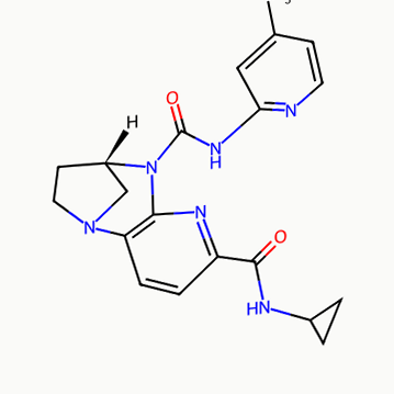 Cc1ccnc(NC(=O)N2c3nc(C(=O)NC4CC4)ccc3N3CC[C@H]2C3)c1